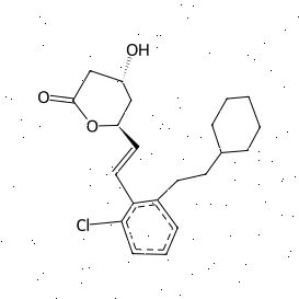 O=C1C[C@H](O)C[C@@H](/C=C/c2c(Cl)cccc2CCC2CCCCC2)O1